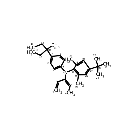 C=C/C(=C\C)N(c1ccc(C(C)(CC)CC)cc1)c1c(C)cc(C(C)(C)C)cc1C